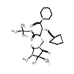 CN1C(=O)N(C[C@H](C(=O)OC(C)(C)C)[C@@H](CC2CCCC2)C(=O)N2CCCCC2)C(=O)C1(C)C